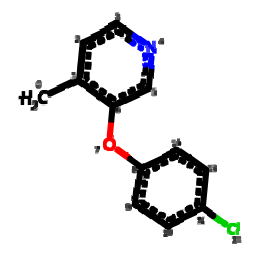 [CH2]c1ccncc1Oc1ccc(Cl)cc1